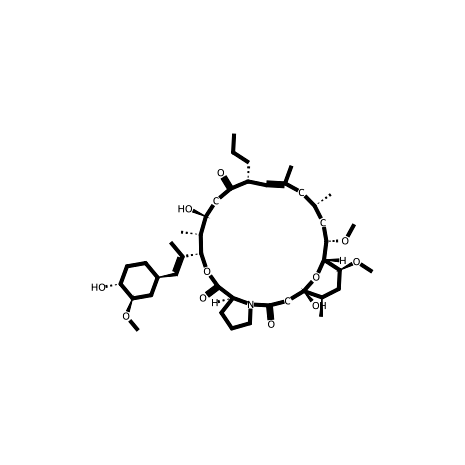 CCC[C@@H]1/C=C(\C)C[C@H](C)C[C@H](OC)[C@H]2O[C@@](O)(CC(=O)N3CCC[C@H]3C(=O)O[C@H](/C(C)=C/[C@@H]3CC[C@@H](O)[C@H](OC)C3)[C@H](C)[C@@H](O)CC1=O)[C@H](C)C[C@@H]2OC